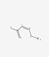 C=C(C)/C=C\CF